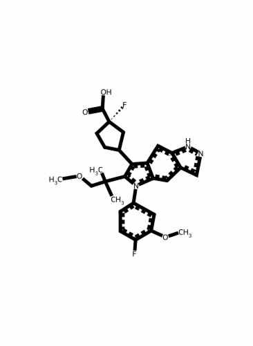 COCC(C)(C)c1c(C2CC[C@@](F)(C(=O)O)C2)c2cc3[nH]ncc3cc2n1-c1ccc(F)c(OC)c1